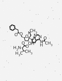 CN=C[C@@]1(c2ccc3c(NC(C)=O)ncnn23)O[C@H](COC(=O)Cc2ccccc2)[C@@H](OC(=O)[C@@H](N)C(C)C)[C@H]1O